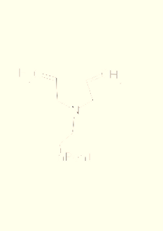 C=CCN(CC=C)CCCCCCC